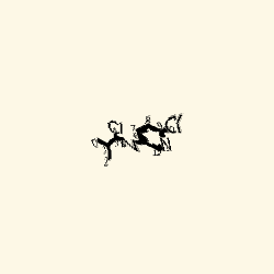 CC(C)C(Cl)=Nc1ccc(Cl)nc1